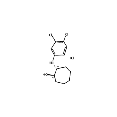 Cl.O[C@@H]1CCCCC[C@H]1Nc1ccc(Cl)c(Cl)c1